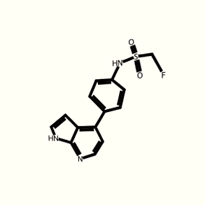 O=S(=O)(CF)Nc1ccc(-c2ccnc3[nH]ccc23)cc1